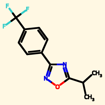 CC(C)c1nc(-c2ccc(C(F)(F)F)cc2)no1